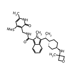 CSc1cc(C)[nH]c(=O)c1CNC(=O)c1c2ccccc2c([C@H](C)[C@H]2CC[C@H](NC3(C)COC3)CC2)n1C